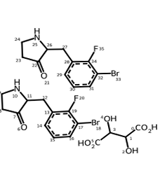 O=C(O)C(O)C(O)C(=O)O.O=C1CCNC1Cc1cccc(Br)c1F.O=C1CCNC1Cc1cccc(Br)c1F